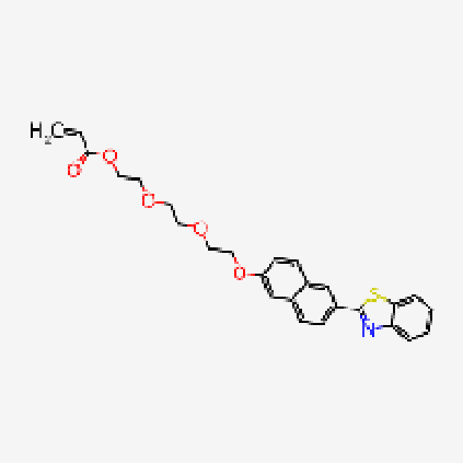 C=CC(=O)OCCOCCOCCOc1ccc2cc(-c3nc4ccccc4s3)ccc2c1